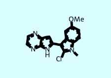 COc1ccc2c(c1)c(-c1cc3nccnc3[nH]1)c(Cl)n2C